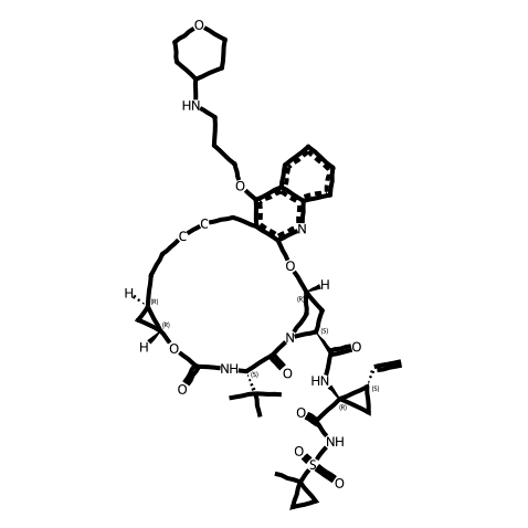 C=C[C@@H]1C[C@]1(NC(=O)[C@@H]1C[C@@H]2CN1C(=O)[C@H](C(C)(C)C)NC(=O)O[C@@H]1C[C@H]1CCCCCc1c(nc3ccccc3c1OCCCNC1CCOCC1)O2)C(=O)NS(=O)(=O)C1(C)CC1